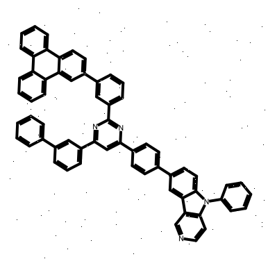 c1ccc(-c2cccc(-c3cc(-c4ccc(-c5ccc6c(c5)c5cnccc5n6-c5ccccc5)cc4)nc(-c4cccc(-c5ccc6c7ccccc7c7ccccc7c6c5)c4)n3)c2)cc1